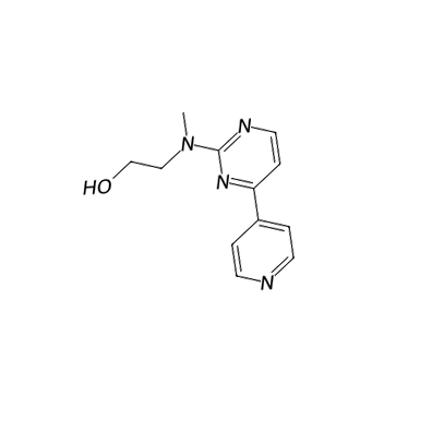 CN(CCO)c1nccc(-c2ccncc2)n1